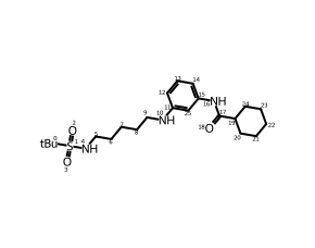 CC(C)(C)S(=O)(=O)NCCCCCNc1cccc(NC(=O)C2CCCCC2)c1